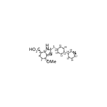 COc1ccc(C(=O)O)c2[nH]c(Cc3ccc(-c4cccnc4)cc3)nc12